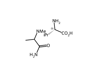 CC(C)[C@H](N)C(=O)O.CNC(C)C(N)=O